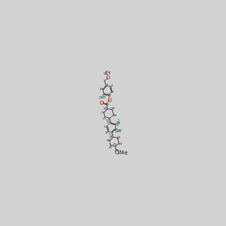 CCOCc1ccc(OC(=O)C2CCC(c3ccc(C4CCC(OC)CC4)c(F)c3F)CC2)c(F)c1